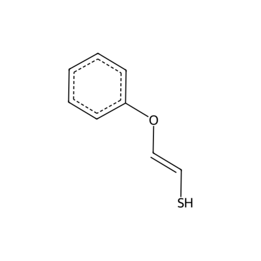 SC=COc1ccccc1